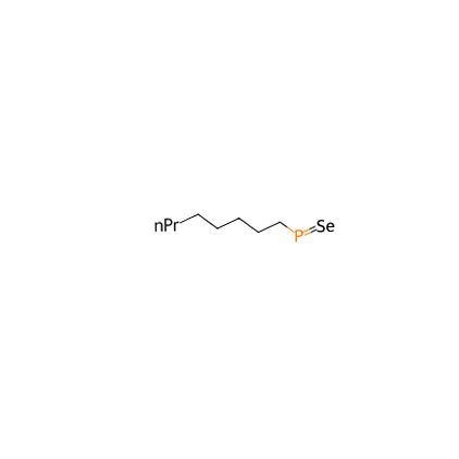 CCCCCCCCP=[Se]